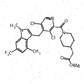 COC(=O)CC1CCN(C(=O)c2ncc(Cl)c(Cc3cn(C)c4cc(C(F)(F)F)cc(C)c34)c2Cl)CC1